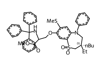 CCCC[C@@]1(CC)CN(c2ccccc2)c2cc(SC)c(OCC(NC(c3ccccc3)(c3ccccc3)c3ccccc3)C(=O)OC)cc2S(=O)(=O)C1